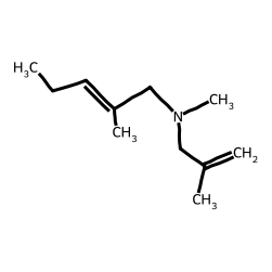 C=C(C)CN(C)C/C(C)=C/CC